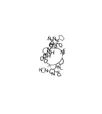 CCn1c(-c2cc(N3CCN(C)CC3)cnc2[C@H](C)OC)c2c3cc(ccc31)-c1csc(n1)C[C@H](NC(=O)[C@H](C1CCCC1)N(C)C(=O)N(C)C)C(=O)N1CCC[C@@](O)(N1)C(=O)OCC(C)(C)C2